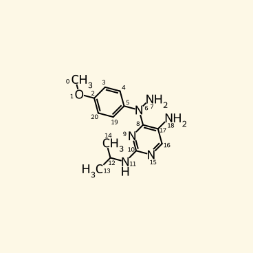 COc1ccc(N(N)c2nc(NC(C)C)ncc2N)cc1